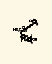 O=C(CCCCCN1C(=O)C=CC1=O)NC(Cc1cc(I)c(Oc2cc(I)c(O)c(I)c2)c(I)c1)C(=O)O